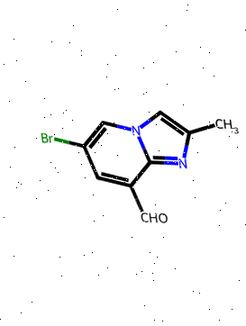 Cc1cn2cc(Br)cc(C=O)c2n1